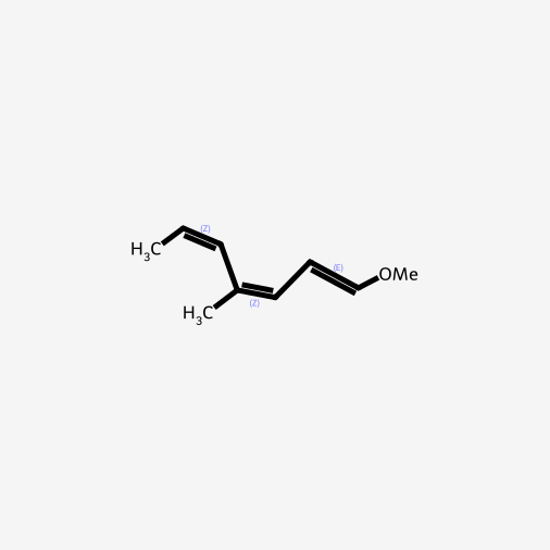 C\C=C/C(C)=C\C=C\OC